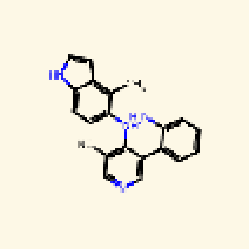 Cc1c(Nc2c(C#N)cncc2-c2ccccc2N)ccc2[nH]ccc12